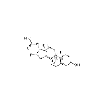 CC(=O)OC1C(F)CC2=C3CCC4=CC(O)CC[C@]4(C)[C@@H]3CC[C@@]21C